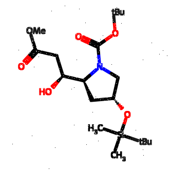 COC(=O)C[C@H](O)[C@@H]1C[C@@H](O[Si](C)(C)C(C)(C)C)CN1C(=O)OC(C)(C)C